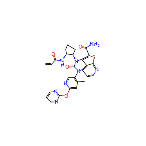 C=CC(=O)N[C@H]1CCC[C@H]1N1C(=O)N(c2cnc(Oc3ncccn3)cc2C)c2ccnc3sc(C(N)=O)c1c23